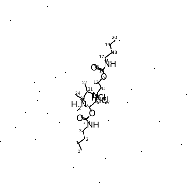 CCCCNC(=O)OCCN(CCOC(=O)NCCCC)C(C)C(C)N.Cl.Cl